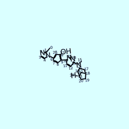 Cc1nccn1-c1ccc(-c2ccc(N(C)[C@H]3CC4CC[C@@H](C4)C3)nn2)c(O)c1